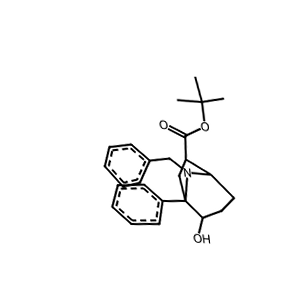 CC(C)(C)OC(=O)C1CC2(c3ccccc3)C(O)CCC1N2Cc1ccccc1